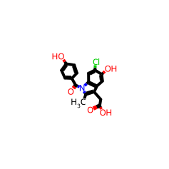 Cc1c(CC(=O)O)c2cc(O)c(Cl)cc2n1C(=O)c1ccc(O)cc1